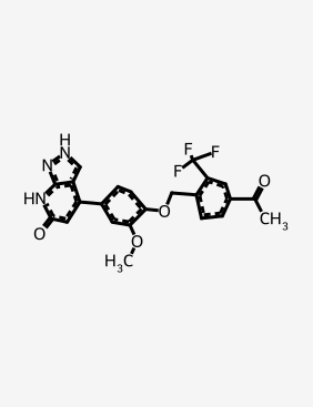 COc1cc(-c2cc(=O)[nH]c3n[nH]cc23)ccc1OCc1ccc(C(C)=O)cc1C(F)(F)F